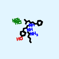 CCCCC(N)CNC(CNC(CCc1ccccc1)CC(C)C)Cc1ccc(O)cc1.Cl.Cl.Cl